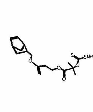 C=C(CCOC(=O)C(C)(C)SC(=S)SC)OCC1CC2C=CC1C2